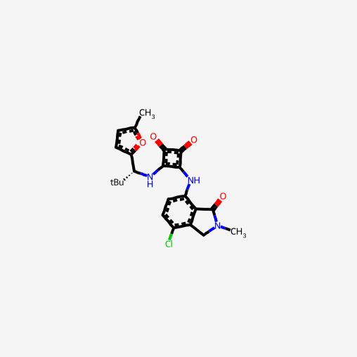 Cc1ccc([C@H](Nc2c(Nc3ccc(Cl)c4c3C(=O)N(C)C4)c(=O)c2=O)C(C)(C)C)o1